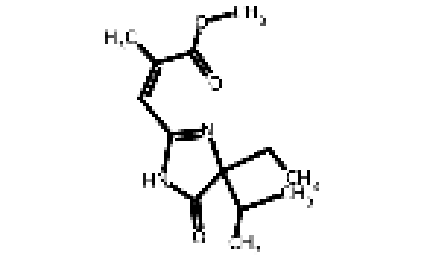 CCC1(C(C)C)N=C(C=C(C)C(=O)OC)NC1=O